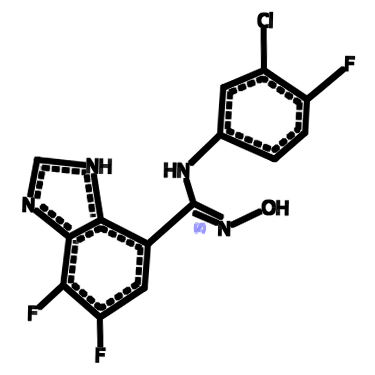 O/N=C(\Nc1ccc(F)c(Cl)c1)c1cc(F)c(F)c2nc[nH]c12